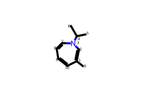 CC1=CN(C(C)C)C=CC=C1